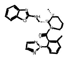 Cc1cccc(-n2nccn2)c1C(=O)N1CCC[C@@H](C)[C@H]1CNc1nc2ccccc2o1